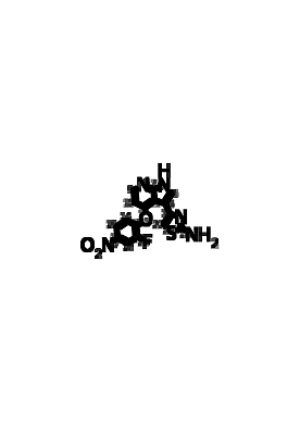 Nc1nc(-c2c[nH]c3nccc(Oc4ccc([N+](=O)[O-])cc4F)c23)cs1